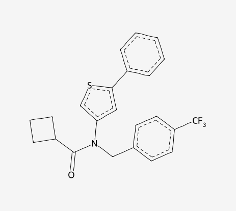 O=C(C1CCC1)N(Cc1ccc(C(F)(F)F)cc1)c1csc(-c2ccccc2)c1